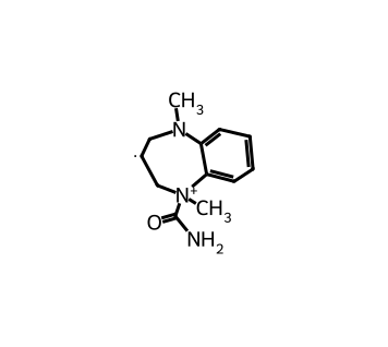 CN1C[CH]C[N+](C)(C(N)=O)c2ccccc21